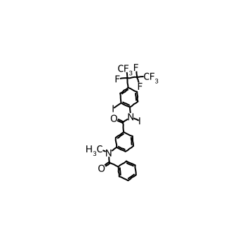 CN(C(=O)c1ccccc1)c1cccc(C(=O)N(I)c2ccc(C(F)(C(F)(F)F)C(F)(F)C(F)(F)F)cc2I)c1